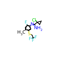 Cc1cc(F)c(/N=C(\N)C2(Cl)CC2)cc1SCC(F)(F)F